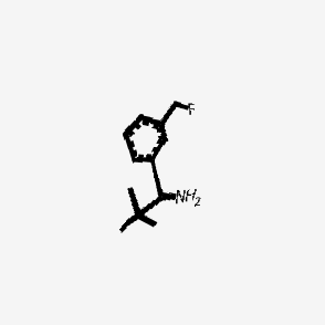 CC(C)(C)C(N)c1cccc(CF)c1